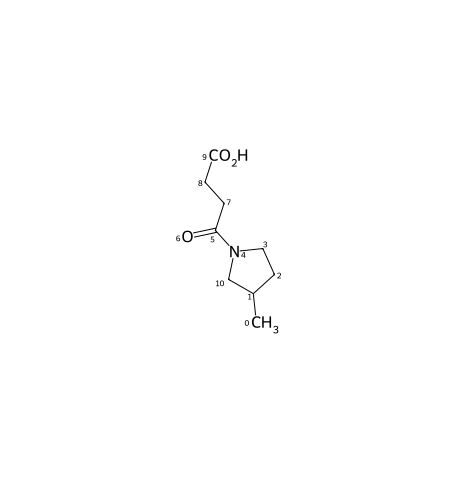 CC1CCN(C(=O)CCC(=O)O)C1